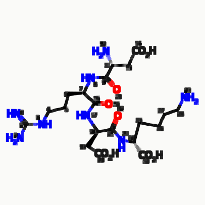 N=C(N)NCCC[C@@H](NC(=O)[C@H](N)CC(=O)O)C(=O)N[C@H](CC(=O)O)C(=O)N[C@H](CCCCN)C(=O)O